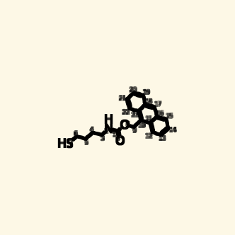 O=C(NCCCCS)OCc1c2ccccc2cc2ccccc12